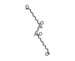 CN(CCCN(C)C(=O)CCCCCCCCC1CO1)C(=O)CCCCCCCCC1CO1